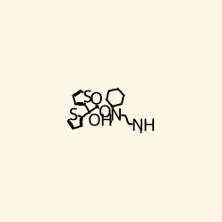 CNCCN(C)C1(OC(=O)C(O)(c2cccs2)c2cccs2)CCCCC1